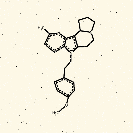 COc1ccc(CCn2c3c(c4nc(C)ccc42)C2CCCN2CC3)cc1